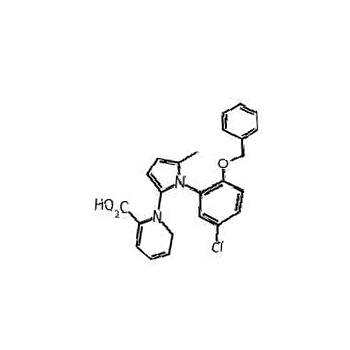 Cc1ccc(N2CC=CC=C2C(=O)O)n1-c1cc(Cl)ccc1OCc1ccccc1